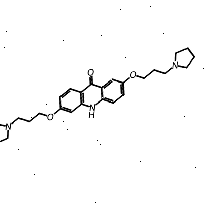 O=c1c2ccc(OCCCN3CCCC3)cc2[nH]c2ccc(OCCCN3CCCC3)cc12